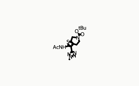 CC(=O)Nc1sc2c(c1-c1nnn(C)n1)CCN(C(=O)OC(C)(C)C)C2